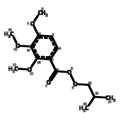 COc1ccc(C(=O)OO[CH]C(C)C)c(OC)c1OC